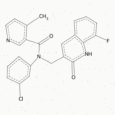 Cc1ccncc1C(=O)N(Cc1cc2cccc(F)c2[nH]c1=O)c1cccc(Cl)c1